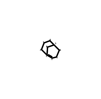 C1=C2CCCC(CC1)C2